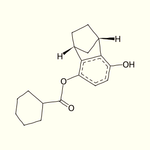 O=C(Oc1ccc(O)c2c1[C@@H]1CC[C@H]2C1)C1CCCCC1